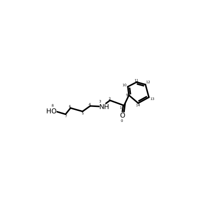 O=C(CNCCCCO)c1ccccc1